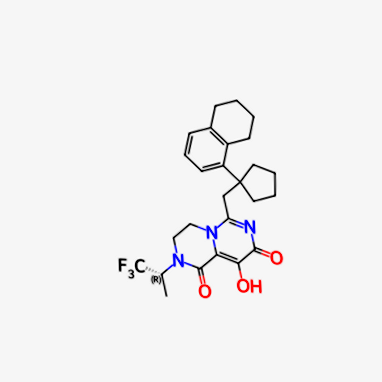 C[C@@H](N1CCn2c(CC3(c4cccc5c4CCCC5)CCCC3)nc(=O)c(O)c2C1=O)C(F)(F)F